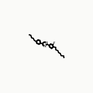 CCCCCCCCc1ccc(-c2ncc(-c3ccc(CCCCC)cc3)cn2)cc1F